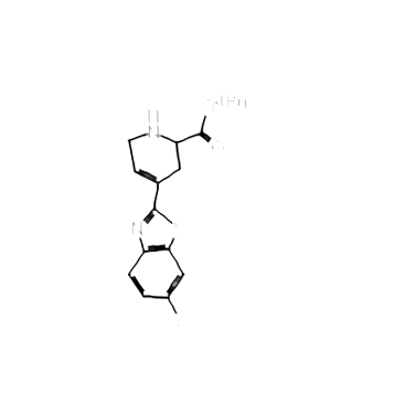 CC(C)(C)OC(=O)C1CC(c2nc3ccc(Cl)cc3s2)=CCN1